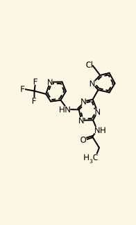 CCC(=O)Nc1nc(Nc2ccnc(C(F)(F)F)c2)nc(-c2cccc(Cl)n2)n1